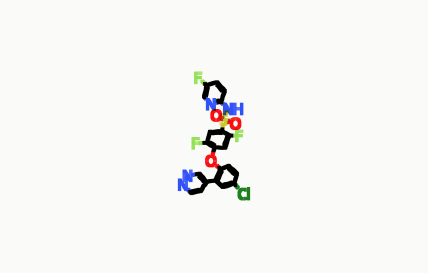 O=S(=O)(Nc1ccc(F)cn1)c1cc(F)c(Oc2ccc(Cl)cc2-c2ccnnc2)cc1F